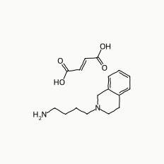 NCCCCN1CCc2ccccc2C1.O=C(O)C=CC(=O)O